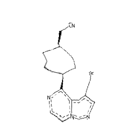 N#CC[C@H]1CC[C@@H](c2nccn3ncc(Br)c23)CC1